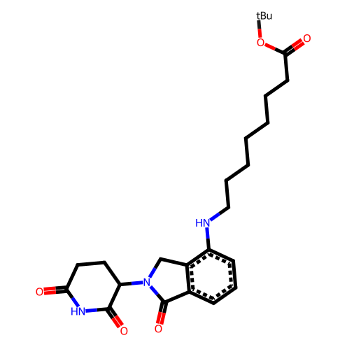 CC(C)(C)OC(=O)CCCCCCCNc1cccc2c1CN(C1CCC(=O)NC1=O)C2=O